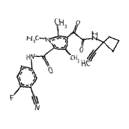 C#CC1(NC(=O)C(=O)c2c(C)c(C(=O)Nc3ccc(F)c(C#N)c3)n(C)c2C)CCC1